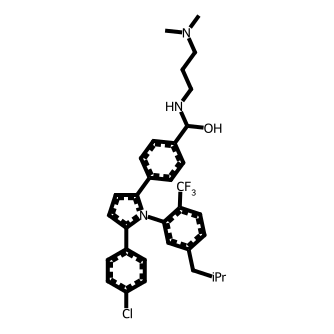 CC(C)Cc1ccc(C(F)(F)F)c(-n2c(-c3ccc(Cl)cc3)ccc2-c2ccc(C(O)NCCCN(C)C)cc2)c1